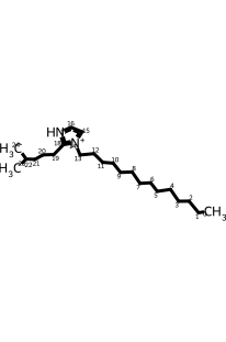 CCCCCCCCCCCCCC[n+]1cc[nH]c1CCCC(C)C